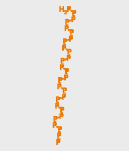 P#P=P\P=P/P=P\P=P/P=P\P=P/P=P\P=P/P=P\P=P/P=P\P=P/P=P\P